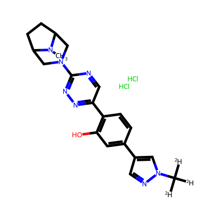 Cl.Cl.[2H]C([2H])([2H])n1cc(-c2ccc(-c3cnc(N4CC5CCC(C4)N5C)nn3)c(O)c2)cn1